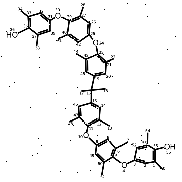 Cc1cc(Oc2c(C)cc(Oc3c(C)cc(C(C)(C)c4cc(C)c(Oc5cc(C)c(Oc6cc(C)c(O)c(C)c6)c(C)c5)c(C)c4)cc3C)cc2C)cc(C)c1O